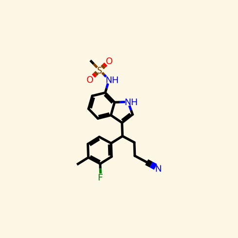 Cc1ccc(C(CCC#N)c2c[nH]c3c(NS(C)(=O)=O)cccc23)cc1F